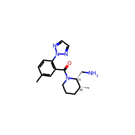 Cc1ccc(-n2nccn2)c(C(=O)N2CCC[C@@H](C)[C@H]2CN)c1